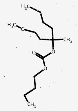 CCCCOC(=O)OC(C)(CCCC)CCCC